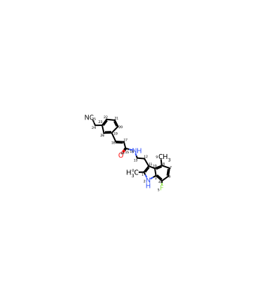 Cc1[nH]c2c(F)ccc(C)c2c1CCNC(=O)C=Cc1cccc(CC#N)c1